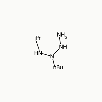 CCCCN(NN)NC(C)C